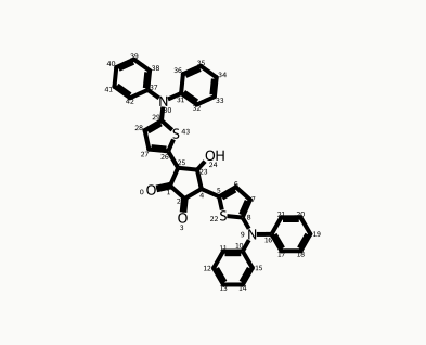 O=C1C(=O)C(c2ccc(N(c3ccccc3)c3ccccc3)s2)C(O)C1c1ccc(N(c2ccccc2)c2ccccc2)s1